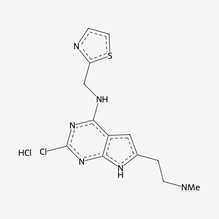 CNCCc1cc2c(NCc3nccs3)nc(Cl)nc2[nH]1.Cl